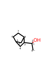 [CH2]C(O)C1CC2CCC1C2